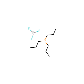 CCCP(CCC)CCC.FB(F)F